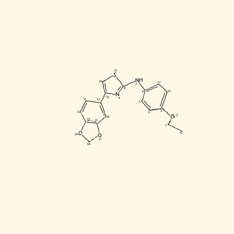 CCOc1ccc(Nc2nc(-c3ccc4c(c3)OCO4)cs2)cc1